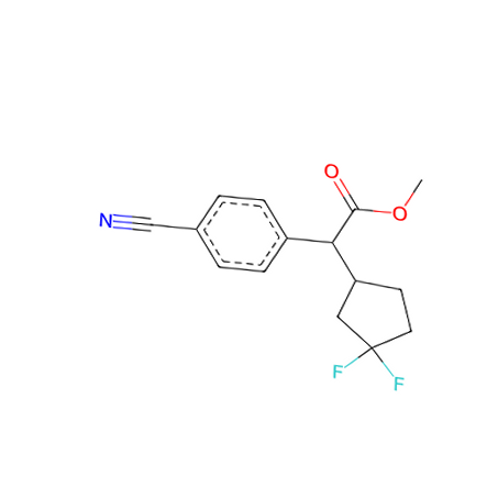 COC(=O)C(c1ccc(C#N)cc1)C1CCC(F)(F)C1